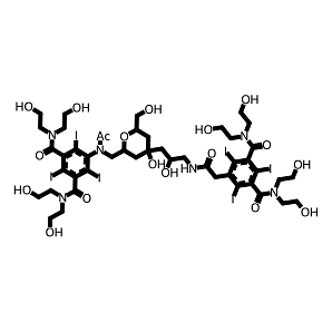 CC(=O)N(CC1CC(O)(CC(O)CNC(=O)Cc2c(I)c(C(=O)N(CCO)CCO)c(I)c(C(=O)N(CCO)CCO)c2I)CC(CO)O1)c1c(I)c(C(=O)N(CCO)CCO)c(I)c(C(=O)N(CCO)CCO)c1I